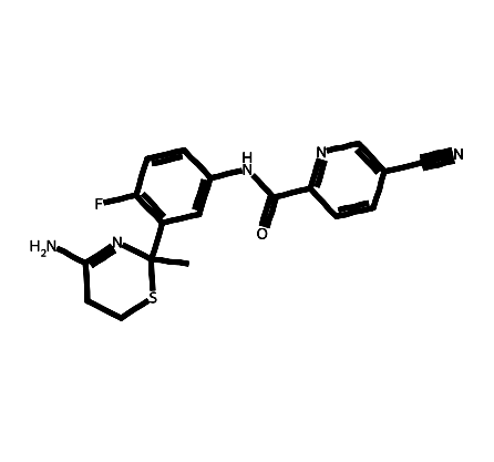 CC1(c2cc(NC(=O)c3ccc(C#N)cn3)ccc2F)N=C(N)CCS1